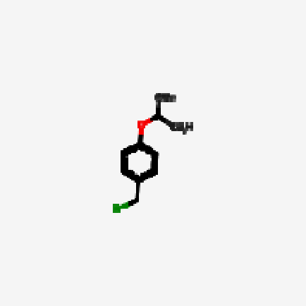 COC(Oc1ccc(CBr)cc1)C(=O)O